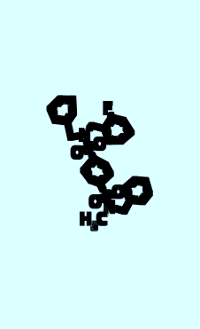 CN(Cc1ccccc1)S(=O)(=O)c1ccc(S(=O)(=O)N(Cc2ccccc2)Cc2ccccc2F)cc1